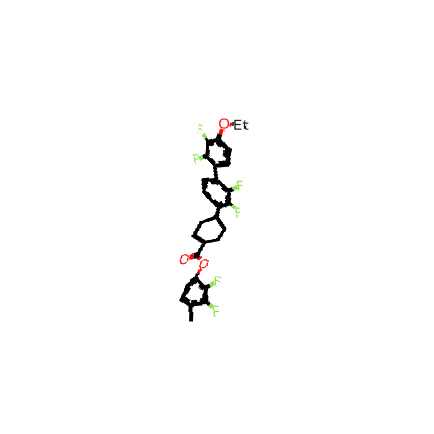 CCOc1ccc(-c2ccc(C3CCC(C(=O)Oc4ccc(C)c(F)c4F)CC3)c(F)c2F)c(F)c1F